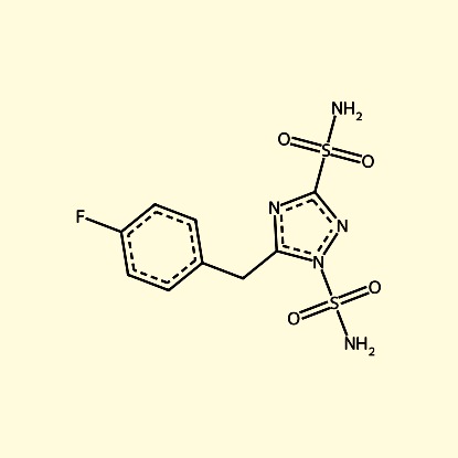 NS(=O)(=O)c1nc(Cc2ccc(F)cc2)n(S(N)(=O)=O)n1